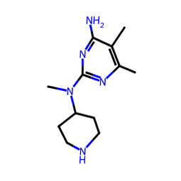 Cc1nc(N(C)C2CCNCC2)nc(N)c1C